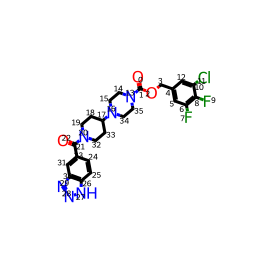 O=C(OCc1cc(F)c(F)c(Cl)c1)N1CCN(C2CCN(C(=O)c3ccc4[nH]nnc4c3)CC2)CC1